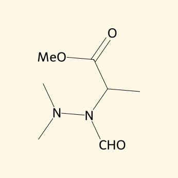 COC(=O)C(C)N(C=O)N(C)C